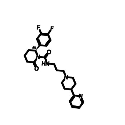 O=C1CCC[C@H](c2ccc(F)c(F)c2)N1C(=O)NCCCN1CCC(c2ccccn2)CC1